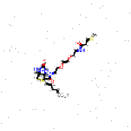 CC(=O)SCCC(=O)NCCOCCOCCNC(=O)[C@@]1(CCCCC(=O)O)SC[C@@H]2NC(=O)N[C@@H]21